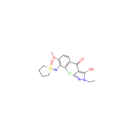 CCn1ncc(C(=O)c2ccc(OC)c(N=S3(=O)CCCC3)c2Cl)c1O